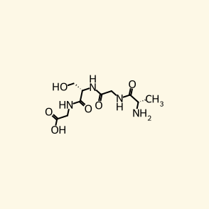 C[C@H](N)C(=O)NCC(=O)N[C@@H](CO)C(=O)NCC(=O)O